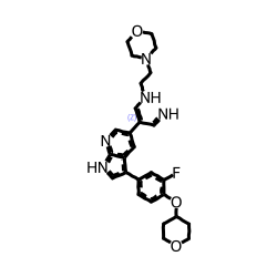 N=C/C(=C\NCCN1CCOCC1)c1cnc2[nH]cc(-c3ccc(OC4CCOCC4)c(F)c3)c2c1